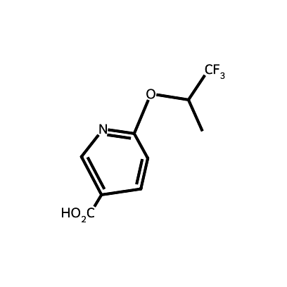 CC(Oc1ccc(C(=O)O)cn1)C(F)(F)F